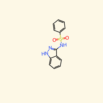 O=S(=O)(Nc1n[nH]c2ccccc12)c1ccccc1